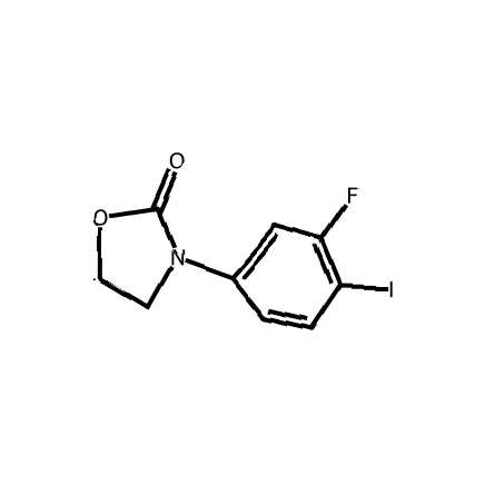 O=C1O[CH]CN1c1ccc(I)c(F)c1